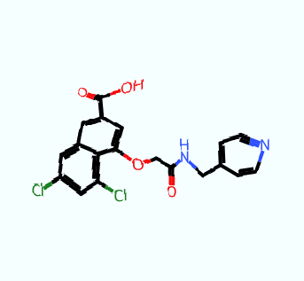 O=C(COc1cc(C(=O)O)cc2cc(Cl)cc(Cl)c12)NCc1ccncc1